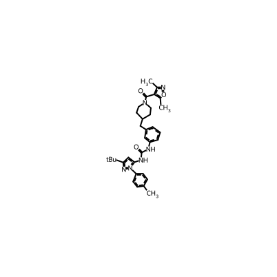 Cc1ccc(-n2nc(C(C)(C)C)cc2NC(=O)Nc2cccc(CC3CCN(C(=O)c4c(C)noc4C)CC3)c2)cc1